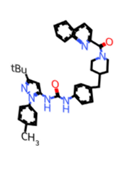 Cc1ccc(-n2nc(C(C)(C)C)cc2NC(=O)Nc2ccc(CC3CCN(C(=O)c4ccc5ccccc5n4)CC3)cc2)cc1